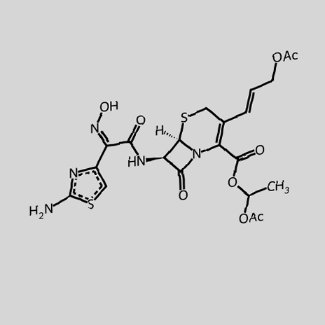 CC(=O)OC/C=C/C1=C(C(=O)OC(C)OC(C)=O)N2C(=O)[C@@H](NC(=O)/C(=N\O)c3csc(N)n3)[C@H]2SC1